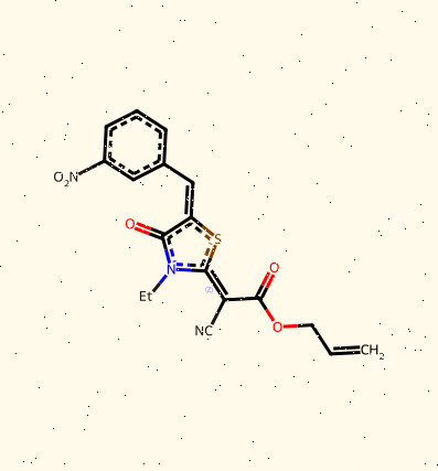 C=CCOC(=O)/C(C#N)=c1\sc(=Cc2cccc([N+](=O)[O-])c2)c(=O)n1CC